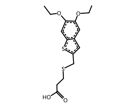 CCOc1cc2cc(CSCCC(=O)O)sc2cc1OCC